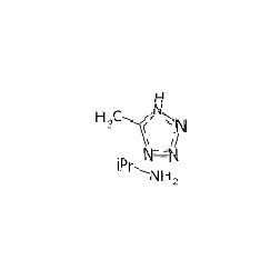 CC(C)N.Cc1nnn[nH]1